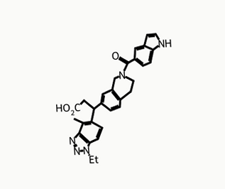 CCn1nnc2c(C)c(C(CC(=O)O)c3ccc4c(c3)CN(C(=O)c3ccc5[nH]ccc5c3)CC4)ccc21